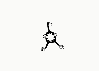 CCc1nc(C(C)C)sc1C(C)C